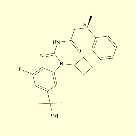 C[C@H](CC(=O)Nc1nc2c(F)cc(C(C)(C)O)cc2n1C1CCC1)c1ccccc1